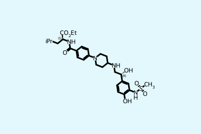 CCOC(=O)[C@H](CC(C)C)NC(=O)c1ccc(N2CCC(NC[C@H](O)c3ccc(O)c(NS(C)(=O)=O)c3)CC2)cc1